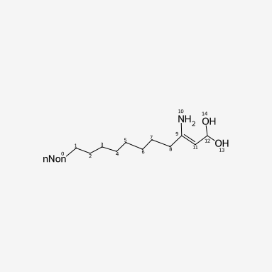 CCCCCCCCCCCCCCCCCC(N)=CC(O)O